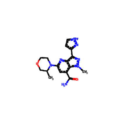 CC1COCCN1c1cc(C(N)=O)c2c(n1)c(-c1cc[nH]n1)nn2C